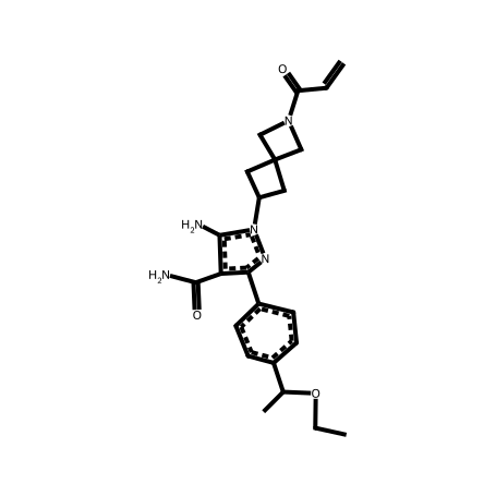 C=CC(=O)N1CC2(CC(n3nc(-c4ccc(C(C)OCC)cc4)c(C(N)=O)c3N)C2)C1